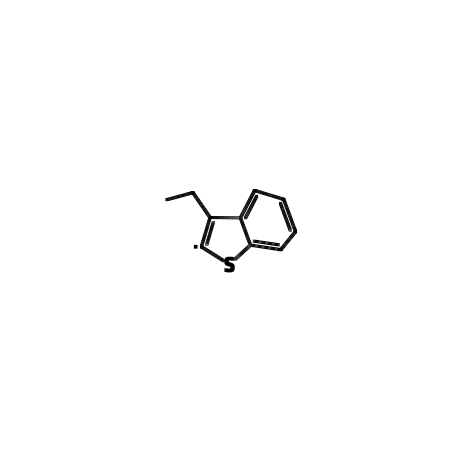 CCc1[c]sc2ccccc12